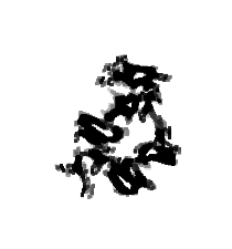 CCNC(=O)c1nnc(-c2cc(C(C)C)c(O)cc2O)n1-c1ccc(CN2CCC(C(=O)N[C@@H](CC(C)C)C(=O)Nc3cccc4c3CN(C3CCC(=O)NC3=O)C4=O)CC2)cc1